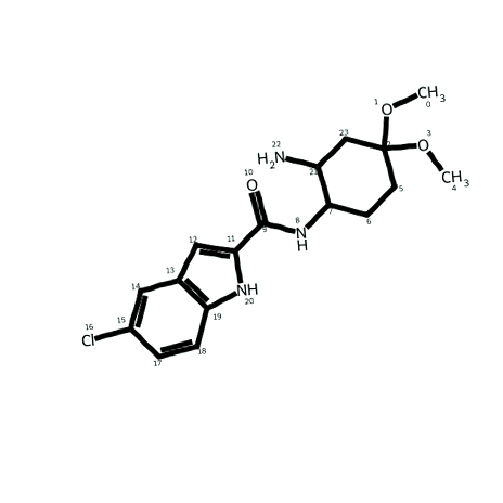 COC1(OC)CCC(NC(=O)c2cc3cc(Cl)ccc3[nH]2)C(N)C1